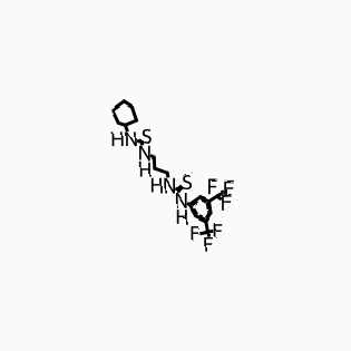 FC(F)(F)c1cc(NC(=S)NCCCNC(=S)NC2CCCCC2)cc(C(F)(F)F)c1